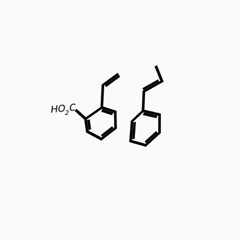 C=Cc1ccccc1C(=O)O.CC=Cc1ccccc1